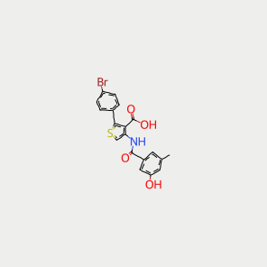 Cc1cc(O)cc(C(=O)Nc2csc(-c3ccc(Br)cc3)c2C(=O)O)c1